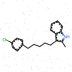 Cc1[nH]c2ccccc2c1CCCCCc1ccc(Cl)cc1